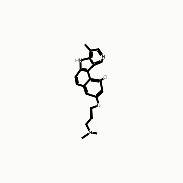 Cc1cncc2c1[nH]c1ccc3cc(OCCCN(C)C)cc(Cl)c3c12